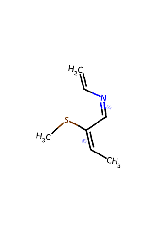 C=C/N=C\C(=C/C)SC